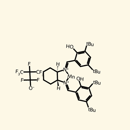 CC(C)(C)c1cc(C=[N+]2[Mn][N+](=Cc3cc(C(C)(C)C)cc(C(C)(C)C)c3O)[C@@H]3CCCC[C@H]32)c(O)c(C(C)(C)C)c1.[O-]C(F)(F)C(F)(C(F)(F)F)C(F)(F)F